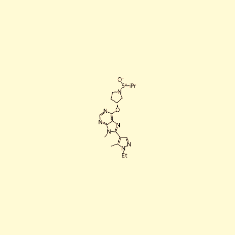 CCn1ncc(-c2nc3c(O[C@H]4CCN([S+]([O-])C(C)C)C4)ncnc3n2C)c1C